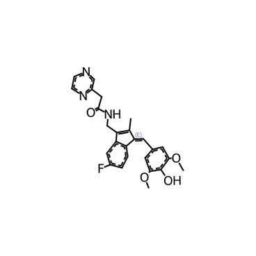 COc1cc(/C=C2/C(C)=C(CNC(=O)Cc3cnccn3)c3cc(F)ccc32)cc(OC)c1O